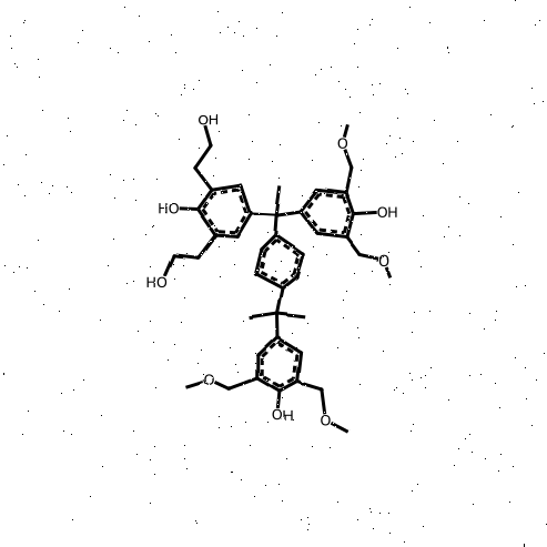 COCc1cc(C(C)(C)c2ccc(C(C)(c3cc(CCO)c(O)c(CCO)c3)c3cc(COC)c(O)c(COC)c3)cc2)cc(COC)c1O